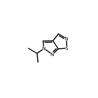 CC(C)n1cc2cnsc2n1